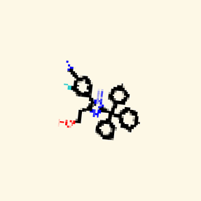 N#Cc1ccc(-c2[nH]c(C(c3ccccc3)(c3ccccc3)c3ccccc3)nc2CCO)cc1F